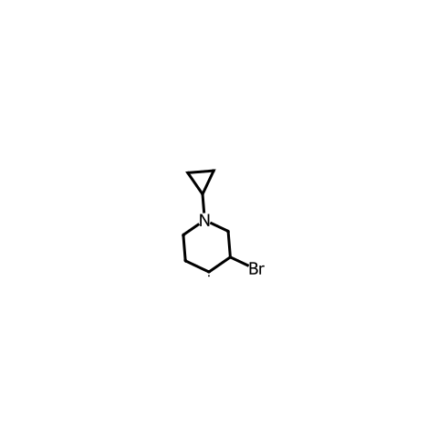 BrC1[CH]CCN(C2CC2)C1